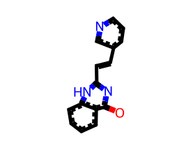 O=c1nc(C=Cc2cccnc2)[nH]c2ccccc12